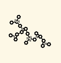 c1ccc(-c2cc(-c3ccc(-n4c5cc(-c6ccc7c(c6)c6ccccc6n7-c6ccccc6)ccc5c5c(-c6ccc(-c7nc(-c8ccccc8)nc(-c8cccc(-n9c%10ccccc%10c%10ccc(-c%11ccc%12c(c%11)c%11ccccc%11n%12-c%11ccccc%11)cc%109)c8)n7)cc6)cccc54)cc3)nc(-c3ccccc3)n2)cc1